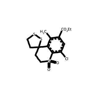 CCOC(=O)c1cc(Cl)c2c(c1C)C1(CCSS1)CCS2(=O)=O